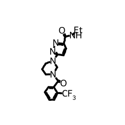 CCNC(=O)c1ccc(N2CCCN(C(=O)c3ccccc3C(F)(F)F)C2)nn1